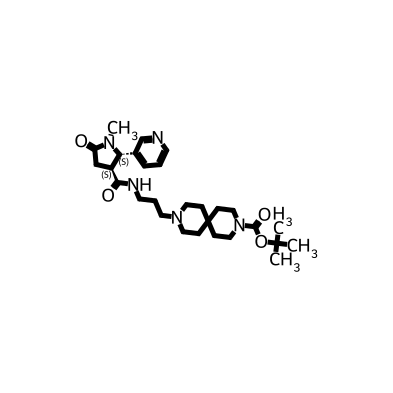 CN1C(=O)C[C@H](C(=O)NCCCN2CCC3(CC2)CCN(C(=O)OC(C)(C)C)CC3)[C@H]1c1cccnc1